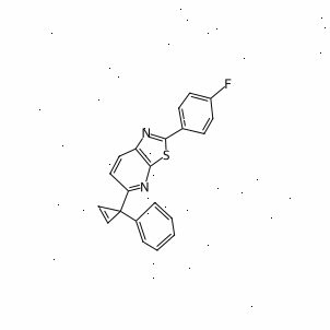 Fc1ccc(-c2nc3ccc(C4(c5ccccc5)C=C4)nc3s2)cc1